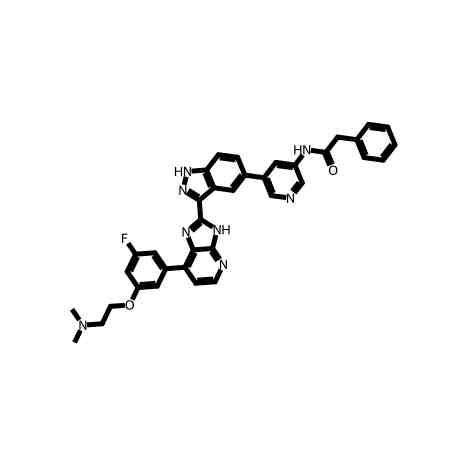 CN(C)CCOc1cc(F)cc(-c2ccnc3[nH]c(-c4n[nH]c5ccc(-c6cncc(NC(=O)Cc7ccccc7)c6)cc45)nc23)c1